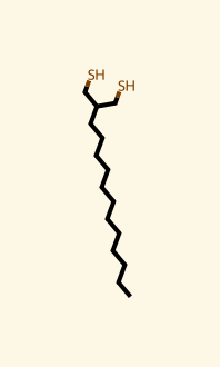 CCCCCCCCCCCCC(CS)CS